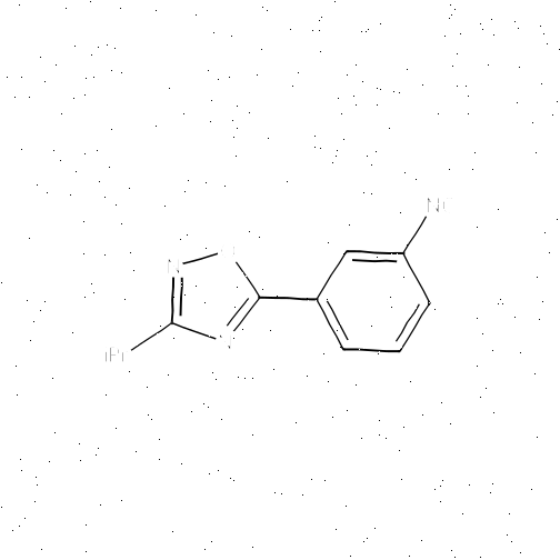 [C-]#[N+]c1cccc(-c2nc(C(C)C)no2)c1